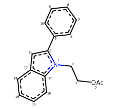 CC(=O)OCCn1c(-c2ccccc2)cc2ccccc21